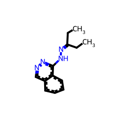 CCC(CC)=NNc1nncc2ccccc12